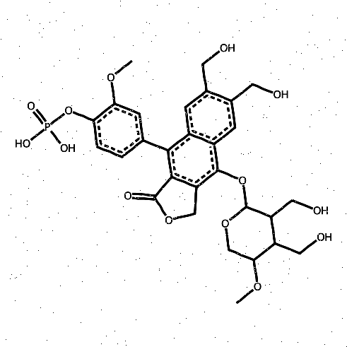 COc1cc(-c2c3c(c(OC4OCC(OC)C(CO)C4CO)c4cc(CO)c(CO)cc24)COC3=O)ccc1OP(=O)(O)O